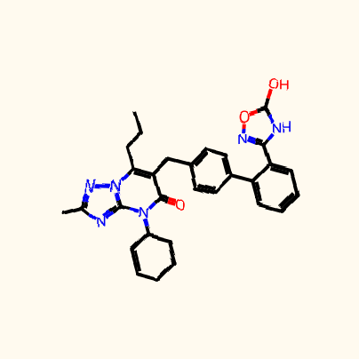 CCCc1c(Cc2ccc(-c3ccccc3C3=NOC(O)N3)cc2)c(=O)n(C2C=CCCC2)c2nc(C)nn12